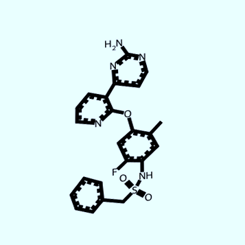 Cc1cc(NS(=O)(=O)Cc2ccccc2)c(F)cc1Oc1ncccc1-c1ccnc(N)n1